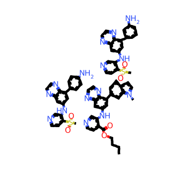 CCCCOC(=O)c1ccncc1Nc1cc(-c2ccc3ccn(C)c3c2)c2nccnc2c1.CS(=O)(=O)c1ccncc1Nc1cc(-c2ccc(N)cc2)c2nccnc2c1.CS(=O)(=O)c1ccncc1Nc1cc(-c2cccc(N)c2)c2nccnc2c1